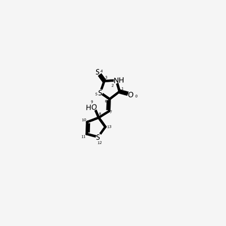 O=C1NC(=S)SC1=CC1(O)C=CSC1